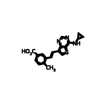 Cc1ccc(C(=O)O)cc1C=Cc1csc2c(NC3CC3)ncnc12